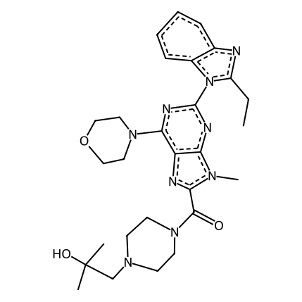 CCc1nc2ccccc2n1-c1nc(N2CCOCC2)c2nc(C(=O)N3CCN(CC(C)(C)O)CC3)n(C)c2n1